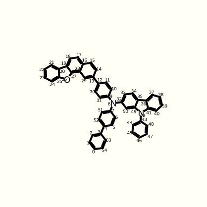 c1ccc(-c2ccc(N(c3ccc(-c4ccc5ccc6c7ccccc7oc6c5c4)cc3)c3ccc4c5ccccc5n(-c5ccccc5)c4c3)cc2)cc1